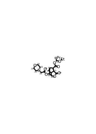 CCCC(OCC)OC(=O)C1C2CC3C(OC(=O)C31)C2OC(=O)CN1CCOCC1